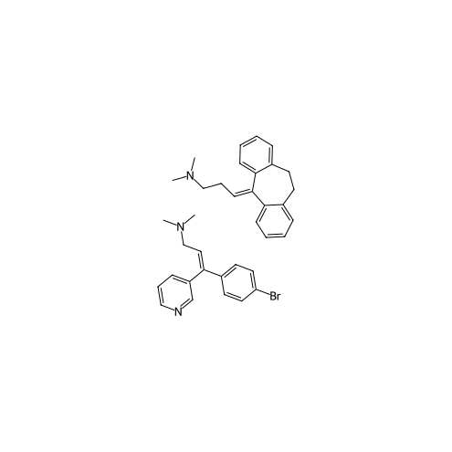 CN(C)C/C=C(/c1ccc(Br)cc1)c1cccnc1.CN(C)CCC=C1c2ccccc2CCc2ccccc21